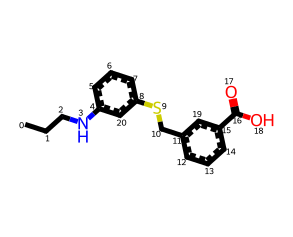 CCCNc1cccc(SCc2cccc(C(=O)O)c2)c1